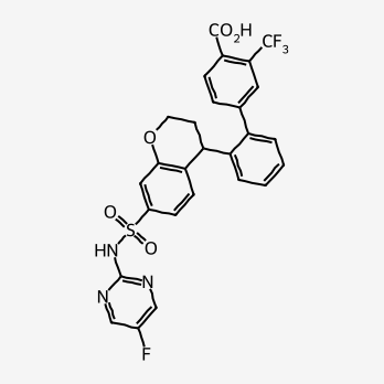 O=C(O)c1ccc(-c2ccccc2C2CCOc3cc(S(=O)(=O)Nc4ncc(F)cn4)ccc32)cc1C(F)(F)F